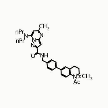 CCCN(CCC)c1cc(C)nc2cc(C(=O)NCc3ccc(-c4ccc5c(c4)CC[C@H](C)N5C(C)=O)cc3)nn12